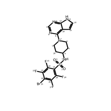 O=S(=O)(NC1CCN(c2ncnc3[nH]ccc23)CC1)c1c(F)c(F)c(Br)c(F)c1F